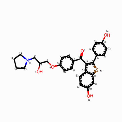 O=C(c1ccc(OCC(O)CN2CCCC2)cc1)c1c(-c2ccc(O)cc2)sc2cc(O)ccc12